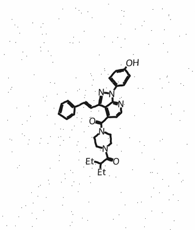 CCC(CC)C(=O)N1CCN(C(=O)c2ccnc3c2c(C=Cc2ccccc2)nn3-c2ccc(O)cc2)CC1